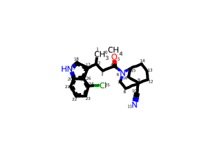 C.CC(CC(=O)N1CCC2(C#N)CCCC1C2)c1c[nH]c2cccc(Cl)c12